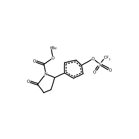 CC(C)(C)OC(=O)N1C(=O)CCC1c1ccc(OS(=O)(=O)C(F)(F)F)cc1